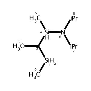 C[SiH2]C(C)[SiH](C)N(C(C)C)C(C)C